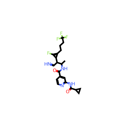 CC(NC(=O)c1ccnc(NC(=O)C2CC2)c1)C(C=N)C1C(F)=C1CCCC(F)(F)F